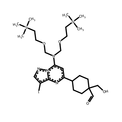 C[Si](C)(C)CCOCN(COCC[Si](C)(C)C)c1cc(C2CCC(C=O)(CO)CC2)nc2c(I)cnn12